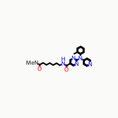 CNC(=O)CCCCCCNC(=O)c1cnc(N(c2ccncc2)c2ccccc2C)nc1